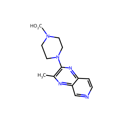 Cc1nc2cnccc2nc1N1CCN(C(=O)O)CC1